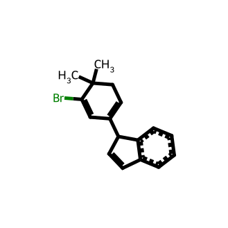 CC1(C)CC=C(C2C=Cc3ccccc32)C=C1Br